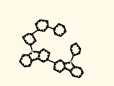 c1ccc(-c2cccc(-c3cccc(-n4c5ccccc5c5cc(-c6ccc7c8ccccc8n(-c8ccccc8)c7c6)ccc54)c3)c2)cc1